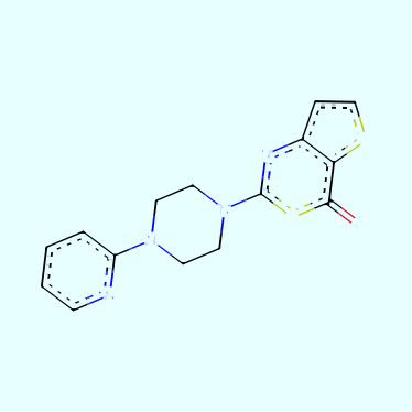 O=c1sc(N2CCN(c3ccccn3)CC2)nc2ccsc12